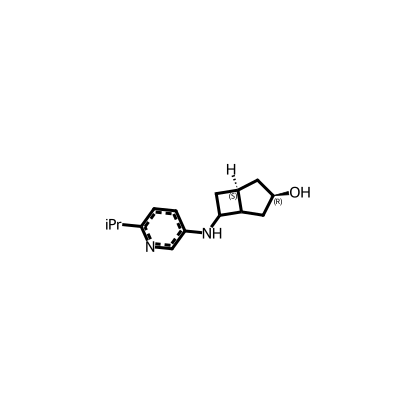 CC(C)c1ccc(NC2C[C@H]3C[C@@H](O)CC23)cn1